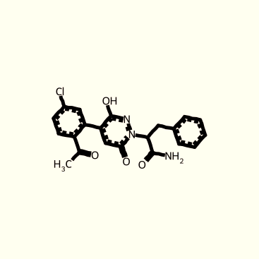 CC(=O)c1ccc(Cl)cc1-c1cc(=O)n(C(Cc2ccccc2)C(N)=O)nc1O